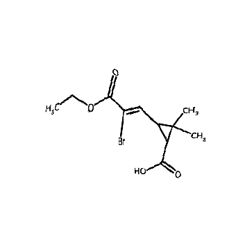 CCOC(=O)/C(Br)=C/C1C(C(=O)O)C1(C)C